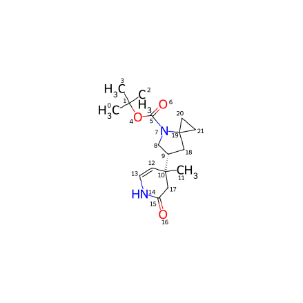 CC(C)(C)OC(=O)N1C[C@@H](C2(C)C=CNC(=O)C2)CC12CC2